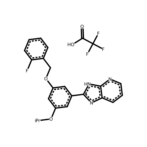 CC(C)Oc1cc(OCc2ccccc2F)cc(-c2nc3cccnc3[nH]2)c1.O=C(O)C(F)(F)F